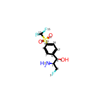 N[C@H](CF)[C@H](O)c1ccc(S(=O)(=O)C(F)F)cc1